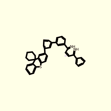 N=C(/C=C\C(=N)c1cccc(-c2cccc(-c3ccc4c(c3)C3(CCCCC3)c3ccccc3S4)c2)c1)c1ccccc1